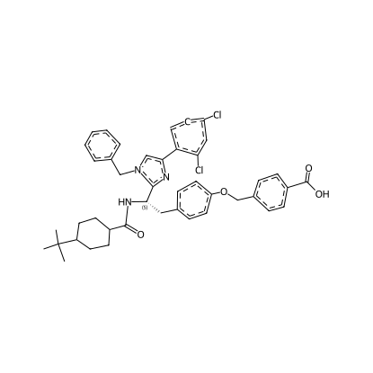 CC(C)(C)C1CCC(C(=O)N[C@@H](Cc2ccc(OCc3ccc(C(=O)O)cc3)cc2)c2nc(-c3ccc(Cl)cc3Cl)cn2Cc2ccccc2)CC1